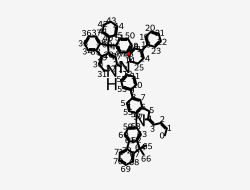 C/C=C\C=C1/Cc2cc(-c3ccc(N(C4C=CC(c5ccccc5)=CC4)C4C=C5C(=CCN4)c4ccccc4C5(C4=CCCC=C4)c4ccccc4)cc3)ccc2N1c1ccc2c(c1)C(C)(C)c1ccccc1-2